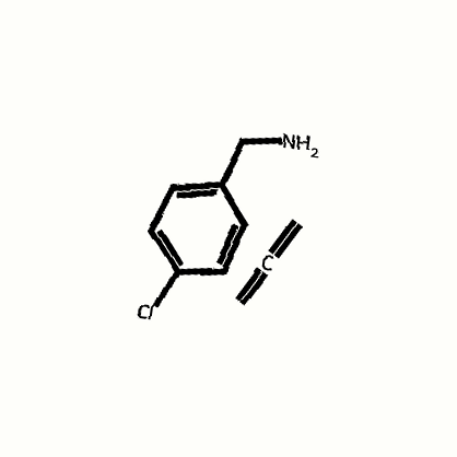 C=C=C.NCc1ccc(Cl)cc1